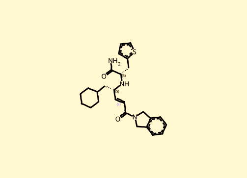 NC(=O)[C@H](Cc1cccs1)N[C@H](/C=C/C(=O)N1Cc2ccccc2C1)CC1CCCCC1